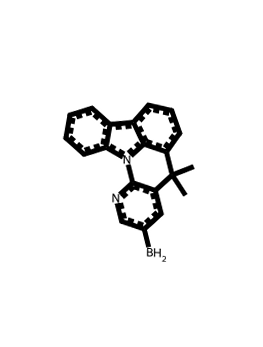 Bc1cnc2c(c1)C(C)(C)c1cccc3c4ccccc4n-2c13